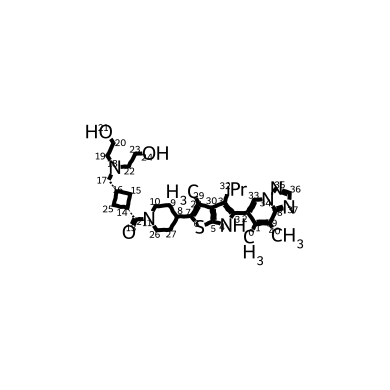 Cc1c(-c2[nH]c3sc(C4CCN(C(=O)[C@H]5C[C@@H](CN(CCO)CCO)C5)CC4)c(C)c3c2C(C)C)cn2ncnc2c1C